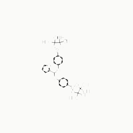 CC1(C)OB(c2ccc(OC(Oc3ccc(B4OC(C)(C)C(C)(C)O4)cc3)c3ccco3)cc2)OC1(C)C